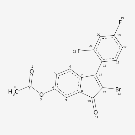 CC(=O)Oc1ccc2c(c1)C(=O)C(Br)=C2c1ccc(F)cc1F